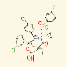 CC[C@]1(CC(=O)O)C[C@H](c2cccc(Cl)c2)[C@@H](c2ccc(Cl)cc2)N(C(CS(=O)(=O)c2ccc(F)cc2)C2CC2)C1=O